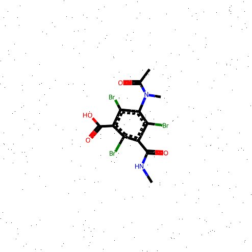 CNC(=O)c1c(Br)c(C(=O)O)c(Br)c(N(C)C(C)=O)c1Br